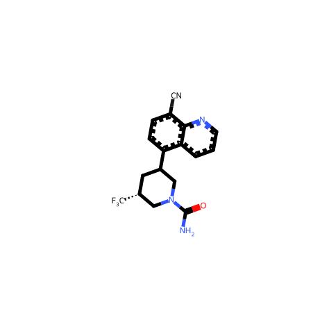 N#Cc1ccc([C]2C[C@@H](C(F)(F)F)CN(C(N)=O)C2)c2cccnc12